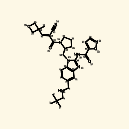 CC(C)(C)CNCc1ccc2c(c1)nc(NC(=O)c1ccno1)n2CC1CCCN1C(=O)C(C#N)=CC1(C)COC1